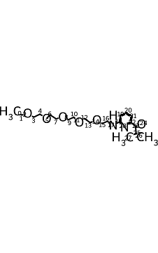 CCOCCOCCOCCOCCOCCNc1cccc(C(=O)C(C)C)n1